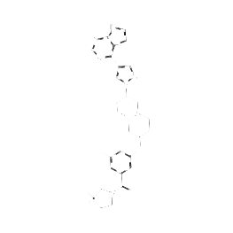 N#CCC(CN1CCC(Oc2cc(F)cc(C(=O)N3CCC(F)(F)C3)c2)CC1)n1cc(-c2ncnc3[nH]ccc23)cn1